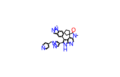 CN1C(=O)C2(CCCC2)c2c1cnc1[nH]c(-c3cnn(Cc4ccncc4)c3)c(-c3ccc4c(cnn4C)c3)c21